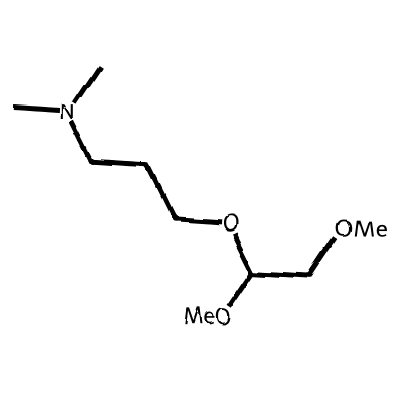 COCC(OC)OCCCN(C)C